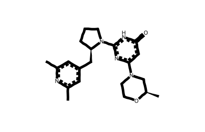 Cc1cc(C[C@H]2CCCN2c2nc(N3CCO[C@H](C)C3)cc(=O)[nH]2)cc(C)n1